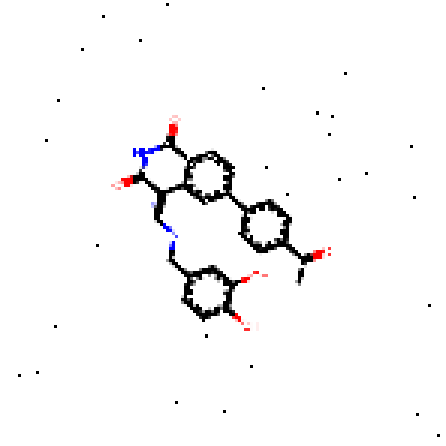 CC(=O)c1ccc(-c2ccc3c(c2)/C(=C\NCc2ccc(O)c(O)c2)C(=O)NC3=O)cc1